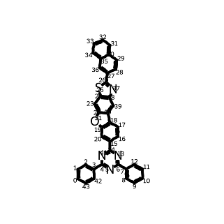 c1ccc(-c2nc(-c3ccccc3)nc(-c3ccc4c(c3)oc3cc5sc(-c6ccc7ccccc7c6)nc5cc34)n2)cc1